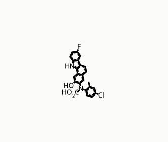 Cc1cc(Cl)ccc1N(C(=O)O)c1cc2ccc3c4cc(F)ccc4[nH]c3c2cc1O